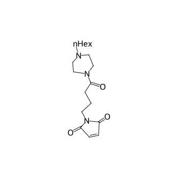 CCCCCCN1CCN(C(=O)CCCN2C(=O)C=CC2=O)CC1